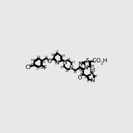 CCn1cncc1C(=O)c1c(CN2CCN(c3cccc(OCc4ccc(Cl)cc4F)n3)CC2)nc2sc(C(=O)O)cn12